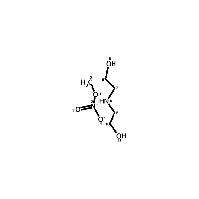 CO[N+](=O)[O-].OCCNCCO